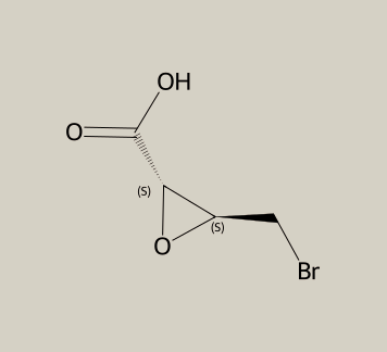 O=C(O)[C@H]1O[C@@H]1CBr